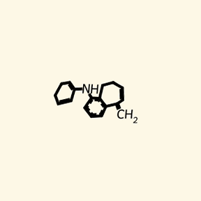 C=C1C=CCCc2c(NC3=CCCC=C3)cccc21